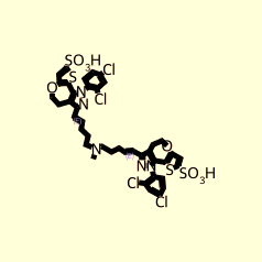 CN(CCC/C=C/c1nn(-c2ccc(Cl)cc2Cl)c2c1CCOc1cc(S(=O)(=O)O)sc1-2)CCC/C=C/c1nn(-c2ccc(Cl)cc2Cl)c2c1CCOc1cc(S(=O)(=O)O)sc1-2